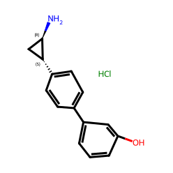 Cl.N[C@@H]1C[C@H]1c1ccc(-c2cccc(O)c2)cc1